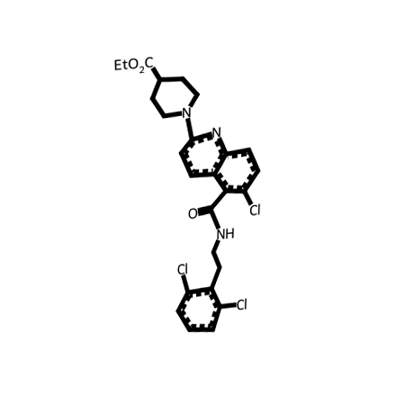 CCOC(=O)C1CCN(c2ccc3c(C(=O)NCCc4c(Cl)cccc4Cl)c(Cl)ccc3n2)CC1